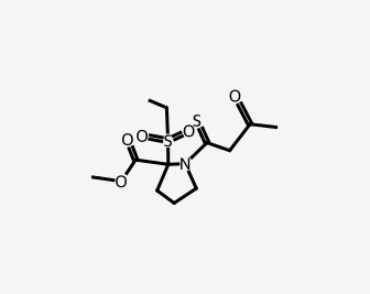 CCS(=O)(=O)C1(C(=O)OC)CCCN1C(=S)CC(C)=O